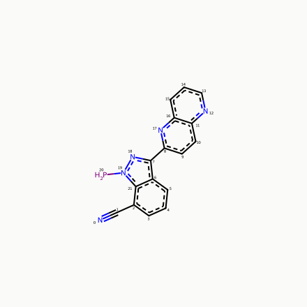 N#Cc1cccc2c(-c3ccc4ncccc4n3)nn(P)c12